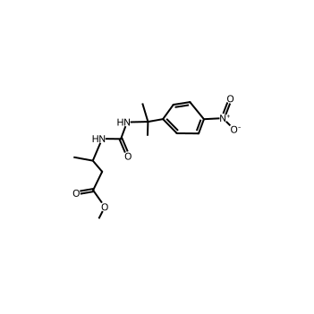 COC(=O)CC(C)NC(=O)NC(C)(C)c1ccc([N+](=O)[O-])cc1